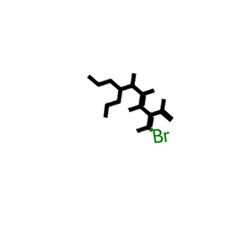 C=C(C)C(=C(/C)Br)/C(C)=C(\C)C(C)C(CCC)CCC